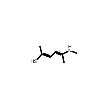 CN/C(C)=C/C=C(\C)S